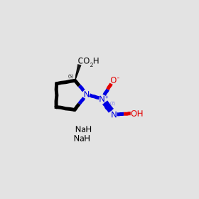 O=C(O)[C@@H]1CCCN1/[N+]([O-])=N/O.[NaH].[NaH]